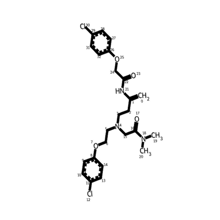 C=C(CCN(CCOc1ccc(Cl)cc1)CC(=O)N(C)C)NC(=O)COc1ccc(Cl)cc1